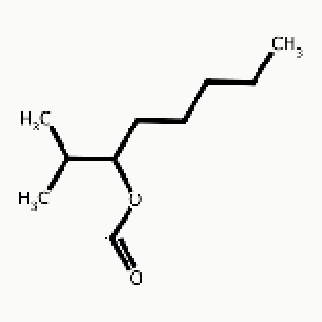 CCCCCC(O[C]=O)C(C)C